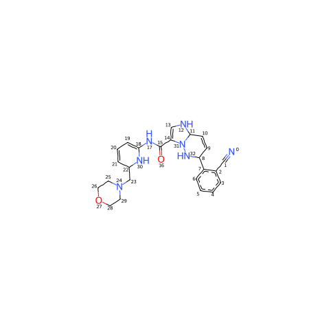 N#Cc1ccccc1C1C=CC2NC=C(C(=O)NC3=CC=CC(CN4CCOCC4)N3)N2N1